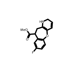 COC(=O)C1CC2=C(C=CCN2)Oc2ccc(F)cc21